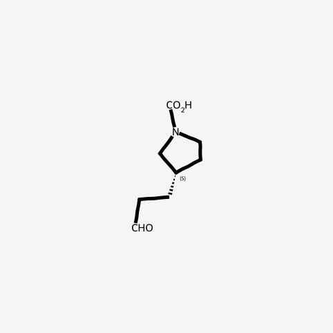 O=CCC[C@H]1CCN(C(=O)O)C1